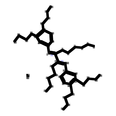 CCCCCCC(=N\c1ccc(CCCC)c(CCCC)c1)/C(CCCCC)=N/c1ccc(CCCC)c(CCCC)c1.[Ni]